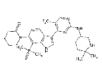 CC1(C)CCC(Nc2ncc(C(F)(F)F)c(-c3c[nH]c4c(P(C)(C)=O)c(N5CCCCC5=O)ccc34)n2)CN1